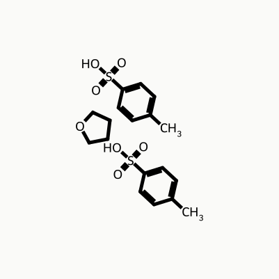 C1CCOC1.Cc1ccc(S(=O)(=O)O)cc1.Cc1ccc(S(=O)(=O)O)cc1